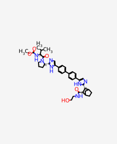 COC(=O)N[C@H](C(=O)N1CCC[C@H]1c1ncc(-c2ccc(-c3ccc(-c4cnc([C@@H]5C6CCC(C6)[C@H]5C(=O)NCCO)[nH]4)cc3)cc2)[nH]1)C(C)C